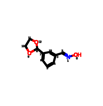 ON=Cc1cccc(C2OCCO2)c1